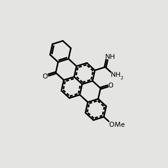 COc1ccc2c(c1)C(=O)c1c(C(=N)N)cc3c4c(ccc-2c14)C(=O)C1=C3CCC=C1